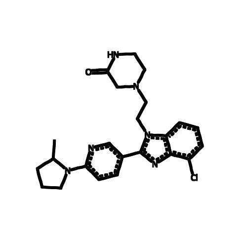 CC1CCCN1c1ccc(-c2nc3c(Cl)cccc3n2CCN2CCNC(=O)C2)cn1